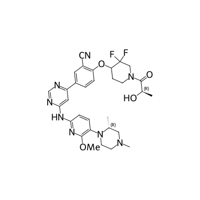 COc1nc(Nc2cc(-c3ccc(OC4CCN(C(=O)[C@@H](C)O)CC4(F)F)c(C#N)c3)ncn2)ccc1N1CCN(C)C[C@H]1C